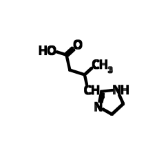 C1=NCCN1.CC(C)CC(=O)O